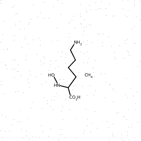 C.NCCCCC(NO)C(=O)O